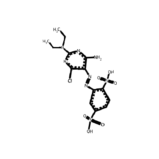 CCN(CC)c1nc(N)c(/N=N/c2cc(S(=O)(=O)O)ccc2S(=O)(=O)O)c(Cl)n1